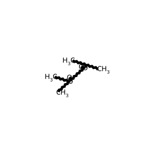 CCCCCCCC(CCCCCCC)OC(=O)CCCCCCCC(=O)OC(CCCCCCC)CCCCCCC